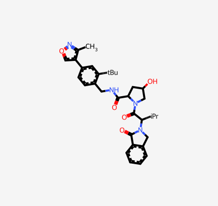 Cc1nocc1-c1ccc(CNC(=O)C2CC(O)CN2C(=O)C(C(C)C)N2Cc3ccccc3C2=O)c(C(C)(C)C)c1